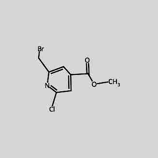 COC(=O)c1cc(Cl)nc(CBr)c1